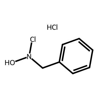 Cl.ON(Cl)Cc1ccccc1